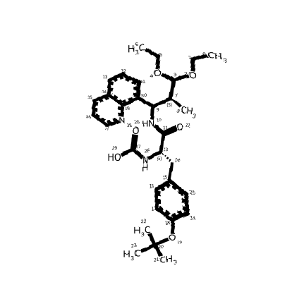 CCOC(OCC)[C@@H](C)C(NC(=O)[C@H](Cc1ccc(OC(C)(C)C)cc1)NC(=O)O)c1cccc2cccnc12